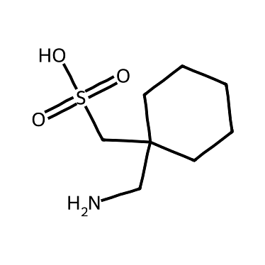 NCC1(CS(=O)(=O)O)CCCCC1